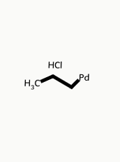 CC[CH2][Pd].Cl